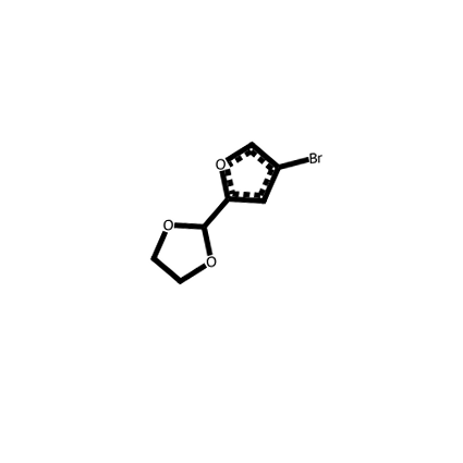 Brc1coc(C2OCCO2)c1